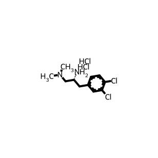 CN(C)C[C@H](N)Cc1ccc(Cl)c(Cl)c1.Cl.Cl